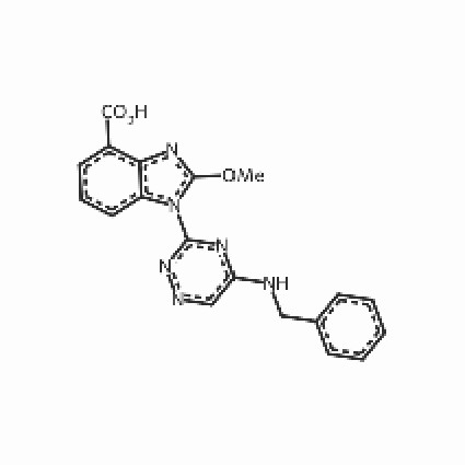 COc1nc2c(C(=O)O)cccc2n1-c1nncc(NCc2ccccc2)n1